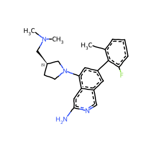 Cc1cccc(F)c1-c1cc(N2CC[C@@H](CN(C)C)C2)c2cc(N)ncc2c1